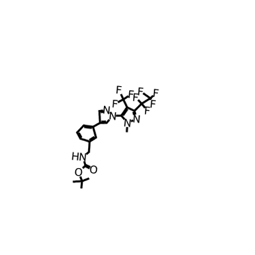 Cn1nc(C(F)(F)C(F)(F)F)c(C(F)(F)F)c1-n1cc(-c2cccc(CNC(=O)OC(C)(C)C)c2)cn1